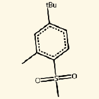 Cc1cc(C(C)(C)C)ccc1S(C)(=O)=O